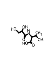 CC(O)C(NC(=O)C(O)CO)C(=O)O